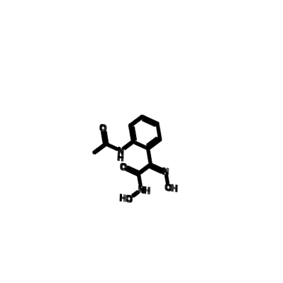 CC(=O)Nc1ccccc1/C(=N/O)C(=O)NO